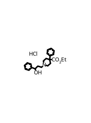 CCOC(=O)C1(c2ccccc2)CCN(CCC(O)c2ccccc2)CC1.Cl